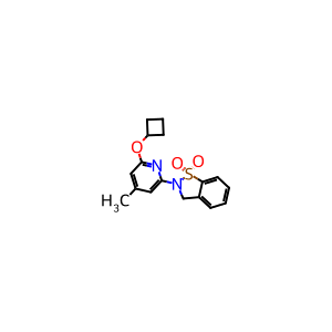 Cc1cc(OC2CCC2)nc(N2Cc3ccccc3S2(=O)=O)c1